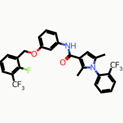 Cc1cc(C(=O)Nc2cccc(OCc3cccc(C(F)(F)F)c3F)c2)c(C)n1-c1ccccc1C(F)(F)F